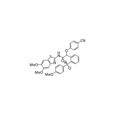 COc1ccc(S(=O)(=O)c2ccccc2C(Oc2ccc(C#N)cc2)C(=O)Nc2nc3cc(OC)c(OC)cc3s2)cc1